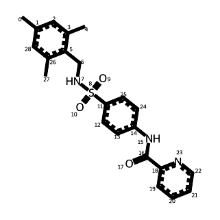 Cc1cc(C)c(CNS(=O)(=O)c2ccc(NC(=O)c3ccccn3)cc2)c(C)c1